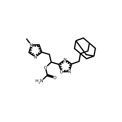 Cn1cnc(CC(OC(N)=O)c2nc(CC34CC5CC(CC(C5)C3)C4)no2)c1